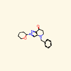 O=C1CCN(Cc2ccccc2)c2cn(C3CCCCO3)nc21